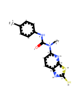 CC(C)N(C(=O)Nc1ccc(C(F)(F)F)cc1)c1ccc2nc(S)sc2n1